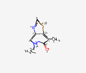 Cc1c(=O)n(C)cc2ncsc12